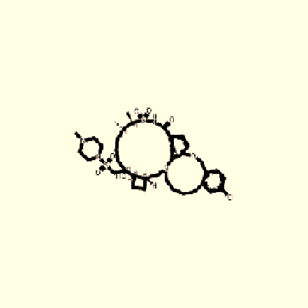 C[C@@H]1[C@@H](C)CCC[C@](O)(CS(=O)(=O)N2CCN(C)CC2)[C@@H]2CC[C@H]2CN2CCCCc3cc(Cl)ccc3COc3ccc(cc32)C(=O)NS1(=O)=O